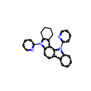 c1ccc(-n2c3c(c4c2ccc2c5ccccc5n(-c5ccccn5)c24)CCCC3)nc1